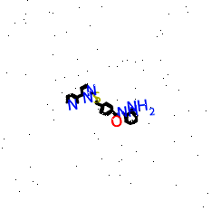 Nc1ccccc1NC(=O)c1ccc(CSc2nccc(-c3cccnc3)n2)cc1